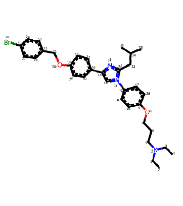 CCN(CC)CCCOc1ccc(-n2cc(-c3ccc(OCc4ccc(Br)cc4)cc3)nc2CC(C)C)cc1